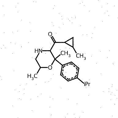 CC1CNC(C(=O)C2CC2C)C(C)(c2ccc(C(C)C)cc2)O1